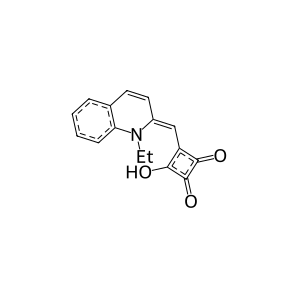 CCN1C(=Cc2c(O)c(=O)c2=O)C=Cc2ccccc21